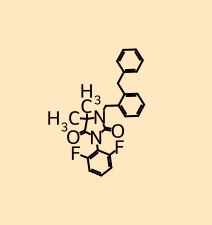 CC1(C)C(=O)N(c2c(F)cccc2F)C(=O)N1Cc1ccccc1Cc1ccccc1